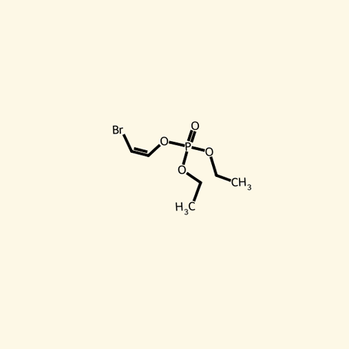 CCOP(=O)(O/C=C\Br)OCC